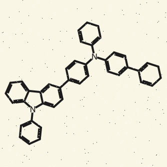 C1=CC(c2ccc(N(C3=CCCC=C3)c3ccc(-c4ccc5c(c4)c4ccccc4n5-c4ccccc4)cc3)cc2)=CCC1